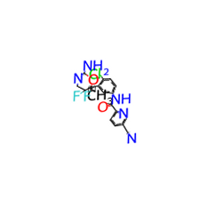 C[C@]1(c2cc(NC(=O)c3ccc(C#N)cn3)ccc2Cl)OC(N)=NCC1(F)F